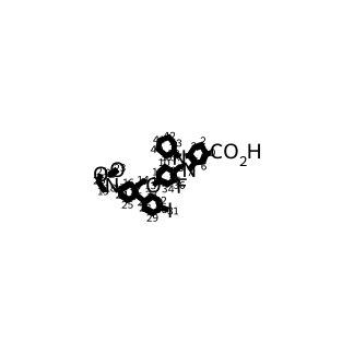 O=C(O)c1ccc2c(c1)nc(-c1ccc(OCc3cc(N4CCOC4=O)ccc3-c3ccc(I)cc3)cc1F)n2C1CCCCC1